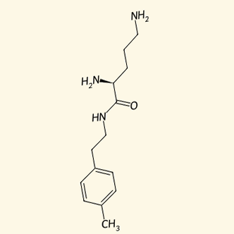 Cc1ccc(CCNC(=O)[C@@H](N)CCCN)cc1